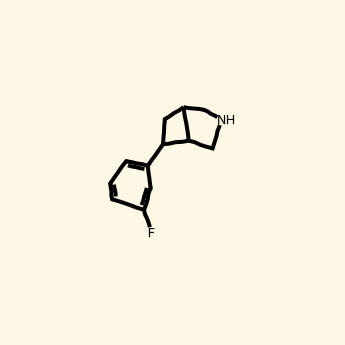 Fc1cccc(C2CC3CNCC32)c1